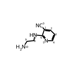 N#Cc1cccnc1NCCN